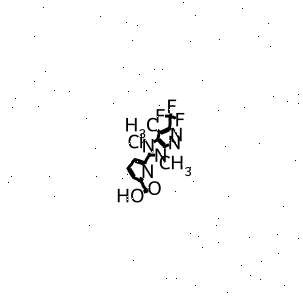 Cc1c(C(F)(F)F)nnc2c1N(Cl)C(c1cccc(C(=O)O)n1)N2C